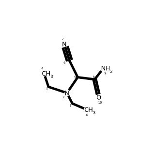 CCN(CC)C(C#N)C(N)=O